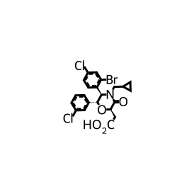 O=C(O)C[C@H]1O[C@H](c2cccc(Cl)c2)[C@@H](c2ccc(Cl)cc2Br)N(CC2CC2)C1=O